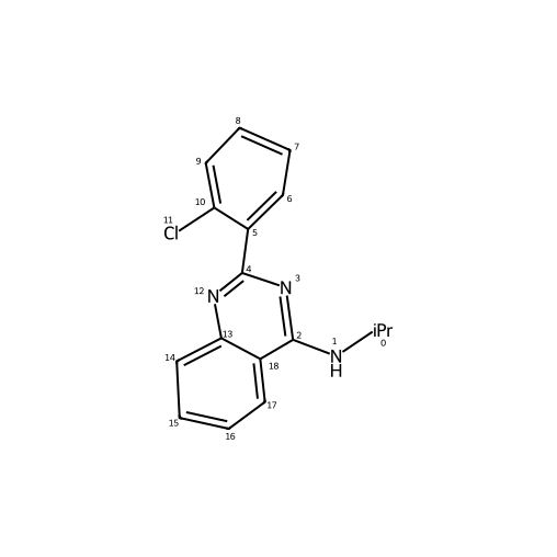 CC(C)Nc1nc(-c2ccccc2Cl)nc2ccccc12